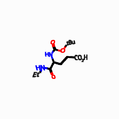 CCNC(=O)C(CCC(=O)O)NC(=O)OC(C)(C)C